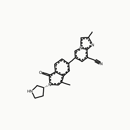 Cc1cn2cc(-c3ccc4c(=O)n([C@@H]5CCNC5)cc(C)c4c3)cc(C#N)c2n1